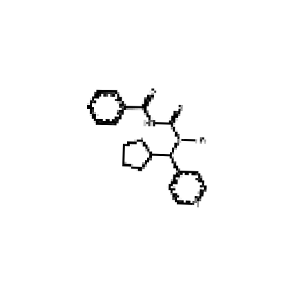 CCCN(C(=S)NC(=O)c1ccccc1)C(c1ccncc1)C1CCCC1